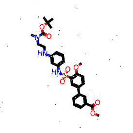 COC(=O)c1cccc(-c2ccc(OC)c(S(=O)(=O)Nc3cccc(NCCN(C)C(=O)OC(C)(C)C)c3)c2)c1